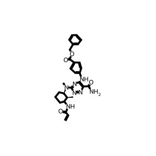 C=CC(=O)NC1CCC[C@@H](N(C)c2nnc(C(N)=O)c(Nc3ccc(C(=O)OCc4ccccc4)cc3)n2)[C@H]1C